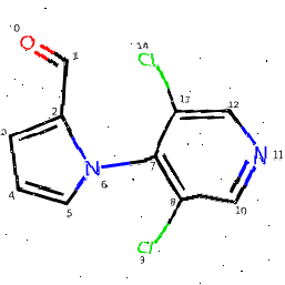 O=Cc1cccn1-c1c(Cl)cncc1Cl